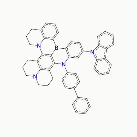 c1ccc(-c2ccc(N3c4cc(-n5c6ccccc6c6ccccc65)ccc4B4c5cccc6c5N(CCC6)c5c6c7c(c3c54)CCCN7CCC6)cc2)cc1